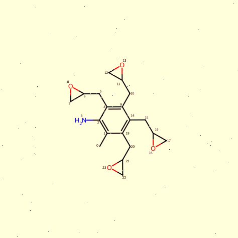 Cc1c(N)c(CC2CO2)c(CC2CO2)c(CC2CO2)c1CC1CO1